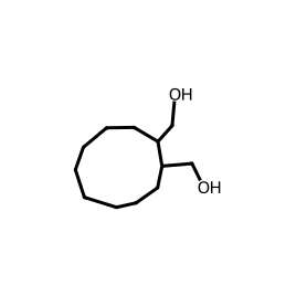 OCC1CCCCCCCCC1CO